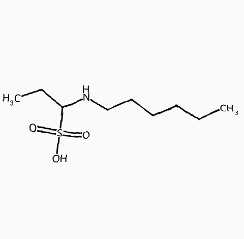 CCCCCCNC(CC)S(=O)(=O)O